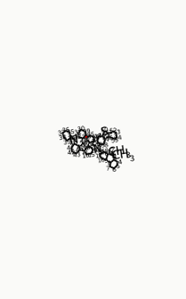 CC1(C)c2ccccc2-c2ccc(N(c3ccc4c(c3)C3(c5ccccc5)c5ccccc5N(c5ccccc5)c5cccc-4c53)c3ccc4sc5ccccc5c4c3)cc21